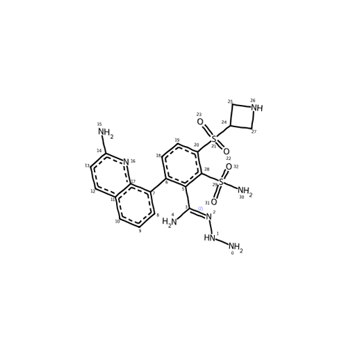 NN/N=C(\N)c1c(-c2cccc3ccc(N)nc23)ccc(S(=O)(=O)C2CNC2)c1S(N)(=O)=O